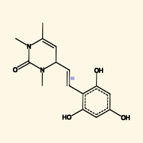 CC1=CC(/C=C/c2c(O)cc(O)cc2O)N(C)C(=O)N1C